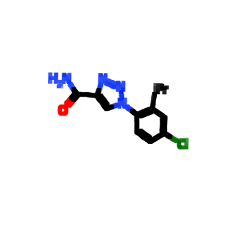 CC(C)c1cc(Cl)ccc1-n1cc(C(N)=O)nn1